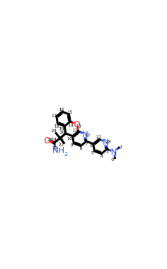 CN(C)c1ccc(-c2ccc3c(n2)Oc2ccccc2C3C(C)(C)C(N)=O)cn1